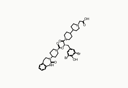 O=C(O)CN1CCC(C2CCN(C(=O)[C@@H](Cc3cc(Br)c(O)c(Br)c3)OC(=O)N3CCC(N4CCc5ccccc5NC4=O)CC3)CC2)CC1